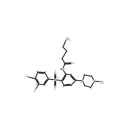 CCCCC(=O)Nc1cc(N2CCN(C)CC2)ccc1S(=O)(=O)c1ccc(F)c(F)c1